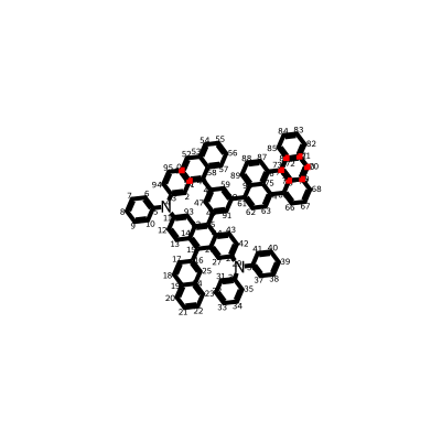 c1ccc(N(c2ccccc2)c2ccc3c(-c4ccc5ccccc5c4)c4cc(N(c5ccccc5)c5ccccc5)ccc4c(-c4cc(-c5cccc6ccccc56)cc(-c5ccc(-c6cccc7ccccc67)c6c(-c7cccc8ccccc78)cccc56)c4)c3c2)cc1